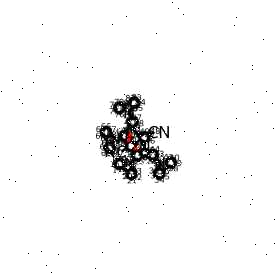 N#Cc1ccc(-c2c(-n3c4ccc(-n5c6ccccc6c6ccccc65)cc4c4cc(-n5c6ccccc6c6ccccc65)ccc43)cc(C#N)cc2-n2c3ccc(-n4c5ccccc5c5ccccc54)cc3c3cc(-n4c5ccccc5c5ccccc54)ccc32)c(F)c1